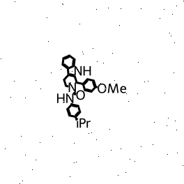 COc1ccc(C2c3[nH]c4ccccc4c3CCN2C(=O)Nc2ccc(C(C)C)cc2)cc1